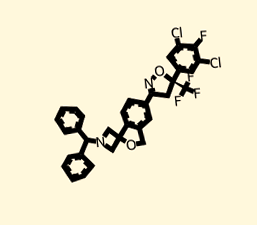 Fc1c(Cl)cc([C@]2(C(F)(F)F)CC(c3ccc4c(c3)COC43CN(C(c4ccccc4)c4ccccc4)C3)=NO2)cc1Cl